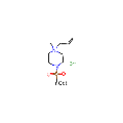 C=CC[N+]1(C)CCN(S(=O)(=O)CCCCCCCC)CC1.[Br-]